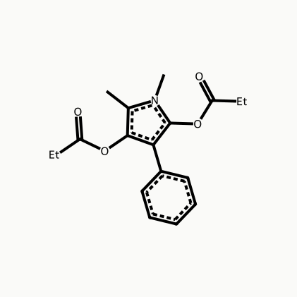 CCC(=O)Oc1c(-c2ccccc2)c(OC(=O)CC)n(C)c1C